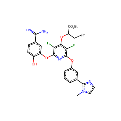 CCOC(=O)C(CC(C)C)Oc1c(F)c(Oc2cccc(-c3nccn3C)c2)nc(Oc2cc(C(=N)N)ccc2O)c1F